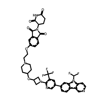 O=C1CCC(N2C(=O)c3ccc(OCCN4CCC(OC5CN(c6ncc(-c7ccc8c9cnccc9n(C(F)F)c8c7)cc6C(F)(F)F)C5)CC4)cc3C2=O)C(=O)N1